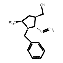 C=C[C@H]1[C@H](CO)C[C@H](C(=O)O)N1Cc1ccccc1